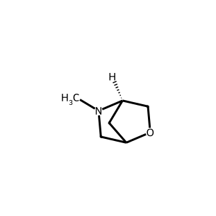 CN1CC2C[C@@H]1CO2